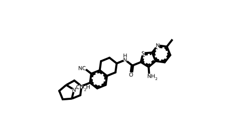 Cc1ccc2c(N)c(C(=O)NC3CCc4c(ccc(N5CC6CCC(C5)N6C(=O)O)c4C#N)C3)sc2n1